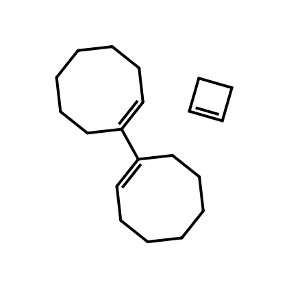 C1=C(C2=CCCCCCC2)CCCCCC1.C1=CCC1